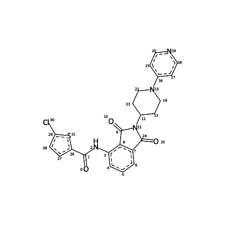 O=C(Nc1cccc2c1C(=O)N(C1CCN(c3ccncc3)CC1)C2=O)c1ccc(Cl)s1